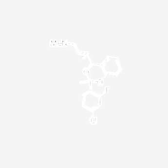 CNC/C=C/C1OC(C)(c2ccc(Cl)cc2F)Oc2ccccc21